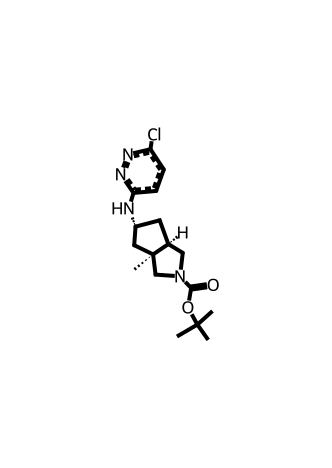 CC(C)(C)OC(=O)N1C[C@@H]2C[C@@H](Nc3ccc(Cl)nn3)C[C@]2(C)C1